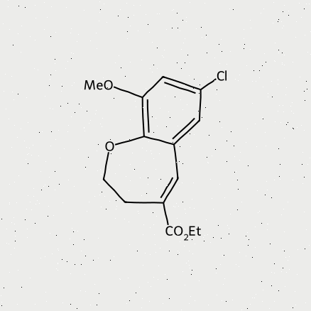 CCOC(=O)C1=Cc2cc(Cl)cc(OC)c2OCC1